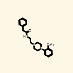 COc1ccccc1N1CCN(CCNC(=O)Cc2ccccc2)CC1